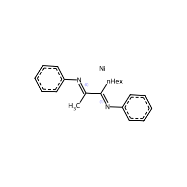 CCCCCCC(=N\c1ccccc1)/C(C)=N/c1ccccc1.[Ni]